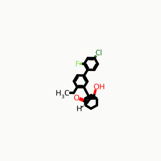 CCc1ccc(-c2ccc(Cl)cc2F)cc1C1=C(O)C2C=C[C@H](CC2)C1=O